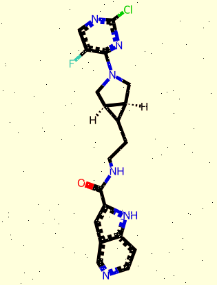 O=C(NCCC1[C@H]2CN(c3nc(Cl)ncc3F)C[C@@H]12)c1cc2cnccc2[nH]1